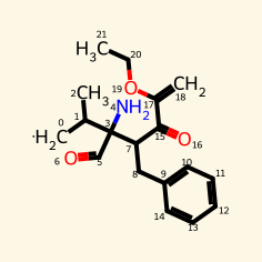 [CH2]C(C)C(N)(C=O)C(Cc1ccccc1)C(=O)C(=C)OCC